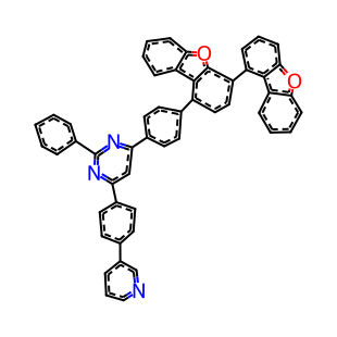 c1ccc(-c2nc(-c3ccc(-c4cccnc4)cc3)cc(-c3ccc(-c4ccc(-c5cccc6oc7ccccc7c56)c5oc6ccccc6c45)cc3)n2)cc1